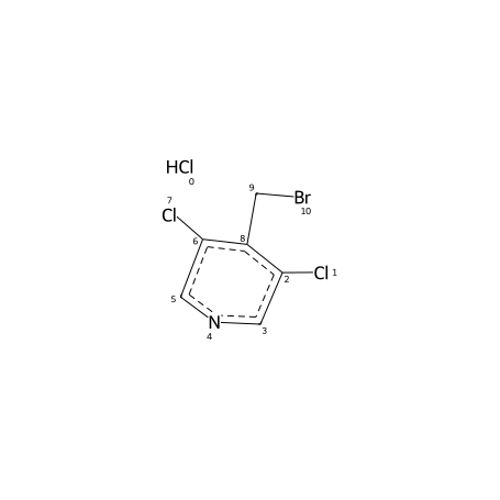 Cl.Clc1cncc(Cl)c1CBr